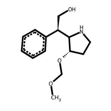 COCO[C@H]1CCNC1[C@H](CO)c1ccccc1